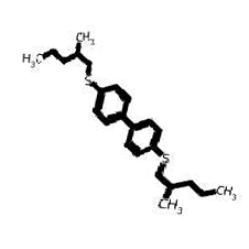 CCCC(C)CSc1ccc(-c2ccc(SCC(C)CCC)cc2)cc1